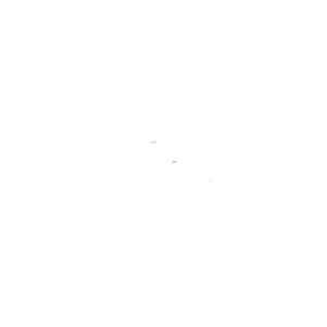 [CH2]C1=CN(O)c2ccccc2N1O